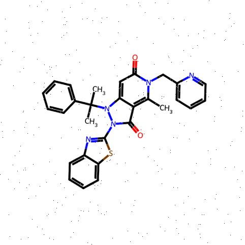 Cc1c2c(=O)n(-c3nc4ccccc4s3)n(C(C)(C)c3ccccc3)c2cc(=O)n1Cc1ccccn1